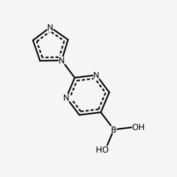 OB(O)c1cnc(-n2ccnc2)nc1